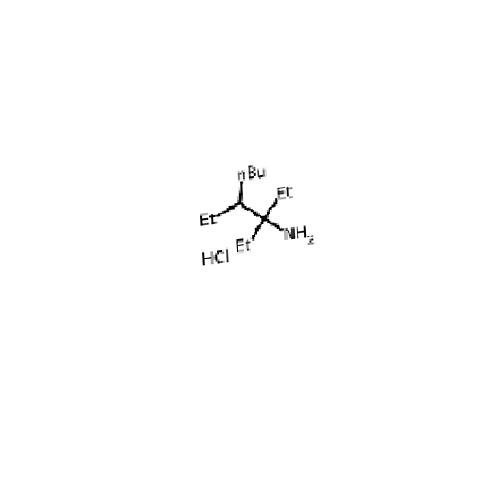 CCCCC(CC)C(N)(CC)CC.Cl